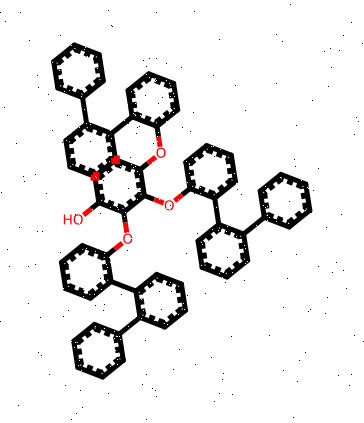 Oc1ccc(Oc2ccccc2-c2ccccc2-c2ccccc2)c(Oc2ccccc2-c2ccccc2-c2ccccc2)c1Oc1ccccc1-c1ccccc1-c1ccccc1